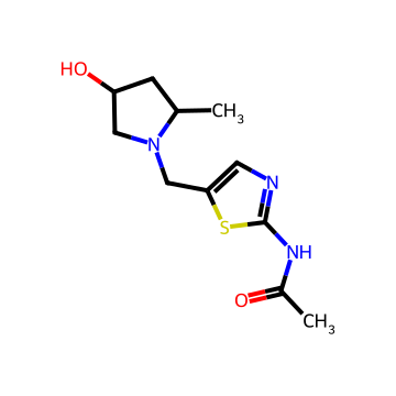 CC(=O)Nc1ncc(CN2CC(O)CC2C)s1